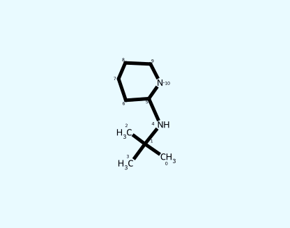 CC(C)(C)NC1CCCC[N]1